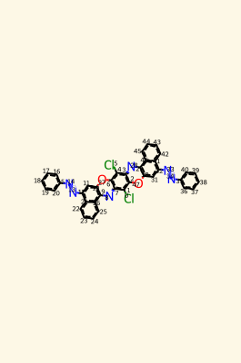 Clc1c2c(c(Cl)c3c1=Nc1c(cc(/N=N/c4ccccc4)c4ccccc14)O3)=Nc1c(cc(/N=N/c3ccccc3)c3ccccc13)O2